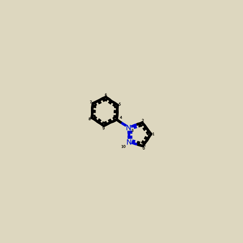 [c]1c[c]n(-c2ccccc2)n1